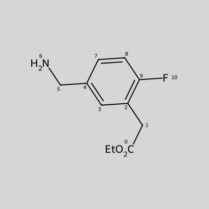 CCOC(=O)Cc1cc(CN)ccc1F